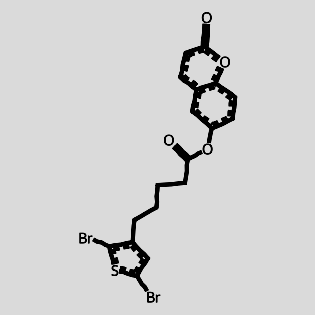 O=C(CCCCc1cc(Br)sc1Br)Oc1ccc2oc(=O)ccc2c1